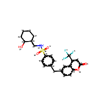 O=c1cc(C(F)(F)F)c2cc(Cc3ccc(S(=O)(=O)NCC4CCCCC4O)cc3)ccc2o1